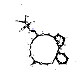 O=C1CCOc2ccccc2-c2cccc(c2F)CCC(/C=N/S(=O)(=O)C(F)F)CCCN1